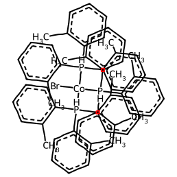 Cc1ccccc1[PH](c1ccccc1C)(c1ccccc1C)[Co]([Br])([PH](c1ccccc1C)(c1ccccc1C)c1ccccc1C)[PH](c1ccccc1C)(c1ccccc1C)c1ccccc1C